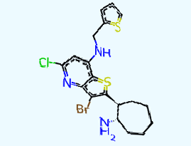 N[C@H]1CCCCC[C@@H]1c1sc2c(NCc3cccs3)cc(Cl)nc2c1Br